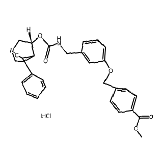 COC(=O)c1ccc(COc2cccc(CNC(=O)O[C@H]3CN4CCC3C(c3ccccc3)C4)c2)cc1.Cl